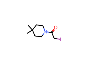 CC1(C)CCN(C(=O)CI)CC1